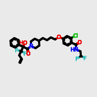 C=CCC(F)(F)C(O)(C(=O)N1CCC(CCCCOc2ccc(C(=O)NCC(F)F)c(Cl)c2)CC1)c1ccccc1